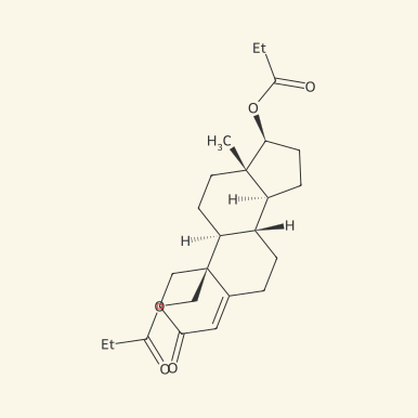 CCC(=O)OC[C@]12CCC(=O)C=C1CC[C@@H]1[C@@H]2CC[C@]2(C)[C@@H](OC(=O)CC)CC[C@@H]12